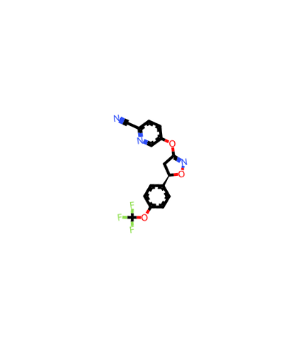 N#Cc1ccc(OC2=NO[C@@H](c3ccc(OC(F)(F)F)cc3)C2)cn1